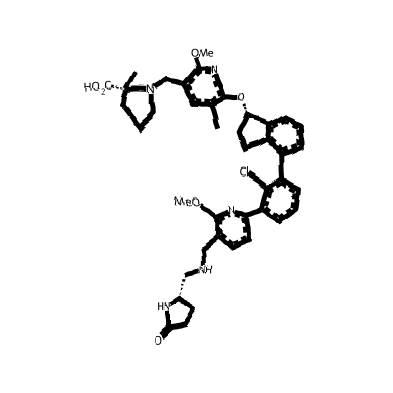 COc1nc(-c2cccc(-c3cccc4c3CC[C@@H]4Oc3nc(OC)c(CN4CCC[C@]4(C)C(=O)O)cc3C)c2Cl)ccc1CNC[C@@H]1CCC(=O)N1